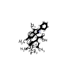 CC(C)C[C@@H](C(=O)NN)[C@H](C(=O)O)C(/C=C/c1ccccc1)(CC(C)C)C(=O)C(C)C